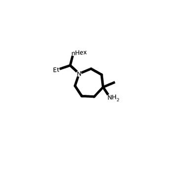 CCCCCCC(CC)N1CCCC(C)(N)CC1